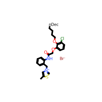 CCCCCCCCCCCCCCOc1c(Cl)cccc1OCC(=O)Nc1ccccc1C[n+]1csc(C)c1.[Br-]